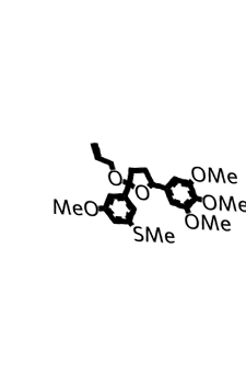 C=CCOC1(c2cc(OC)cc(SC)c2)CCC(c2cc(OC)c(OC)c(OC)c2)O1